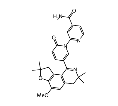 COc1cc2c(c3c1OC(C)(C)C3)C(c1ccc(=O)n(-c3cc(C(N)=O)ccn3)c1)=NC(C)(C)C2